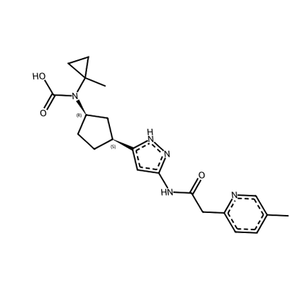 Cc1ccc(CC(=O)Nc2cc([C@H]3CC[C@@H](N(C(=O)O)C4(C)CC4)C3)[nH]n2)nc1